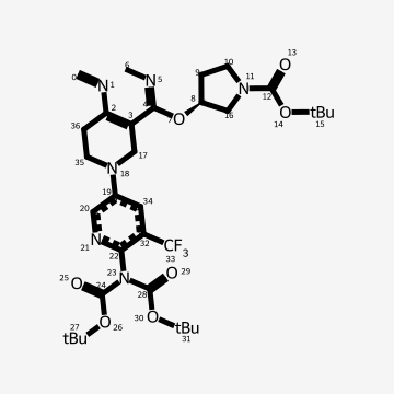 C=NC1=C(/C(=N\C)O[C@H]2CCN(C(=O)OC(C)(C)C)C2)CN(c2cnc(N(C(=O)OC(C)(C)C)C(=O)OC(C)(C)C)c(C(F)(F)F)c2)CC1